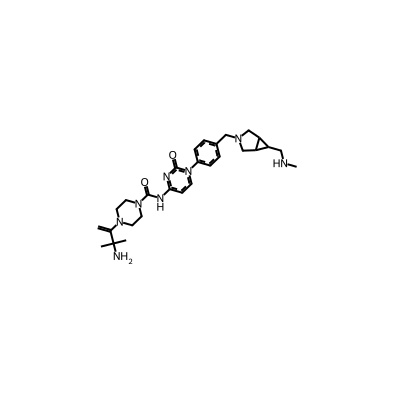 C=C(N1CCN(C(=O)Nc2ccn(-c3ccc(CN4CC5C(CNC)C5C4)cc3)c(=O)n2)CC1)C(C)(C)N